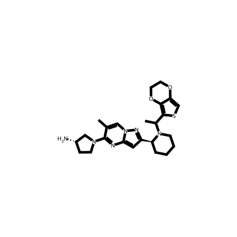 Cc1cn2nc([C@@H]3CCCCN3C(C)c3scc4c3OCCO4)cc2nc1N1CC[C@H](N)C1